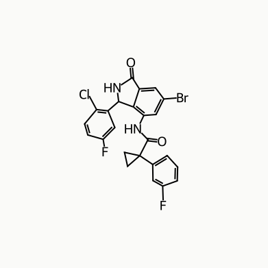 O=C1NC(c2cc(F)ccc2Cl)c2c(NC(=O)C3(c4cccc(F)c4)CC3)cc(Br)cc21